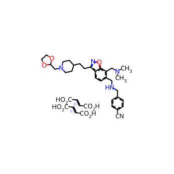 CN(C)Cc1c(CNCc2ccc(C#N)cc2)ccc2c(CCC3CCN(CC4OCCO4)CC3)noc12.O=C(O)/C=C/C(=O)O.O=C(O)/C=C/C(=O)O